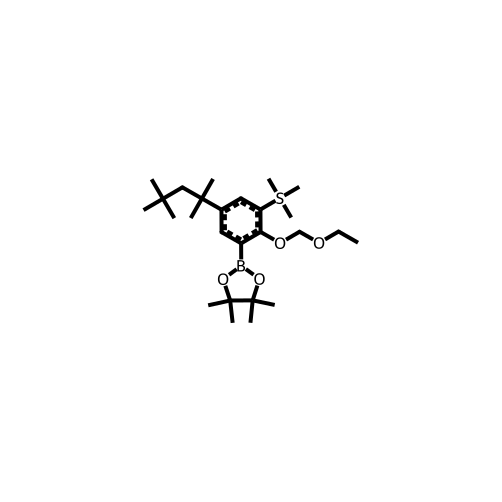 CCOCOc1c(B2OC(C)(C)C(C)(C)O2)cc(C(C)(C)CC(C)(C)C)cc1S(C)(C)C